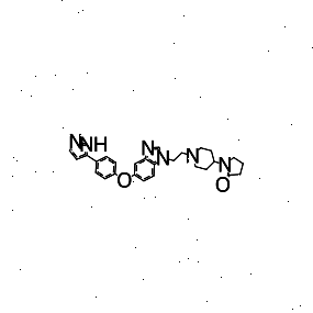 O=C1CCCN1C1CCN(CCn2cnc3cc(Oc4ccc(-c5ccn[nH]5)cc4)ccc32)CC1